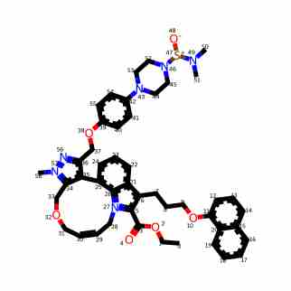 CCOC(=O)c1c(CCCOc2cccc3ccccc23)c2cccc3c2n1C/C=C\COCc1c-3c(COc2ccc(N3CCN([S+]([O-])N(C)C)CC3)cc2)nn1C